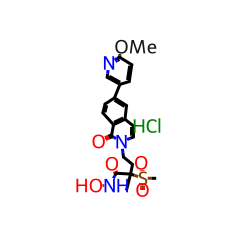 COc1ccc(-c2ccc3c(=O)n(CCC(C)(C(=O)NO)S(C)(=O)=O)ccc3c2)cn1.Cl